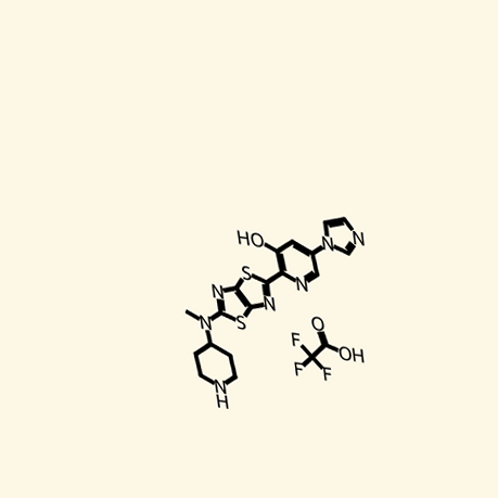 CN(c1nc2sc(-c3ncc(-n4ccnc4)cc3O)nc2s1)C1CCNCC1.O=C(O)C(F)(F)F